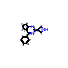 c1ccc(-c2nc(C3CNC3)nc3c2CCC3)cc1